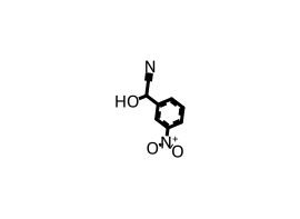 N#CC(O)c1cccc([N+](=O)[O-])c1